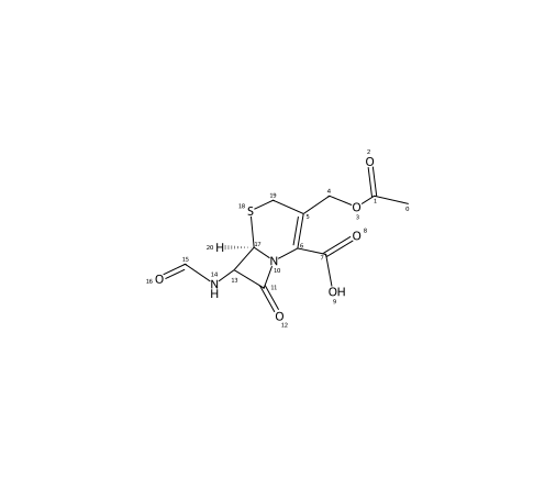 CC(=O)OCC1=C(C(=O)O)N2C(=O)C(NC=O)[C@H]2SC1